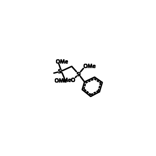 CO[Si](C)(C[Si](OC)(OC)c1ccccc1)OC